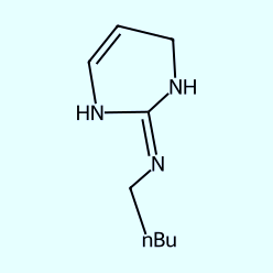 CCCCCN=C1NC=CCN1